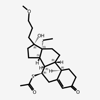 CC[C@]12CC[C@H]3[C@@H]([C@H](SC(C)=O)CC4=CC(=O)CC[C@@H]43)[C@@H]1CC[C@@]2(O)CCCOC